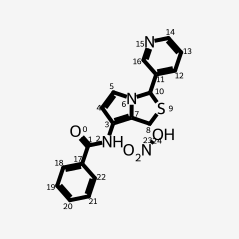 O=C(Nc1ccn2c1CSC2c1cccnc1)c1ccccc1.O=[N+]([O-])O